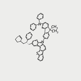 CC1(C)c2ccc(N(c3ccccc3)c3ccccc3)cc2-c2cc(-n3c4ccc(C[C@H](CC5C=CCCC5)c5ccccc5)cc4c4c5sc6ccccc6c5ccc43)ccc21